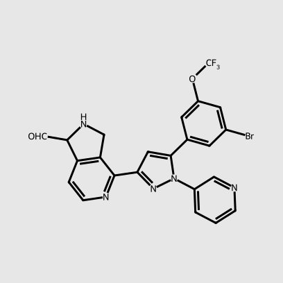 O=CC1NCc2c1ccnc2-c1cc(-c2cc(Br)cc(OC(F)(F)F)c2)n(-c2cccnc2)n1